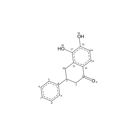 O=C1CC(c2ccccc2)Cc2c1ccc(O)c2O